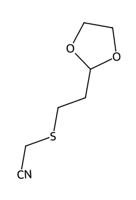 N#CCSCCC1OCCO1